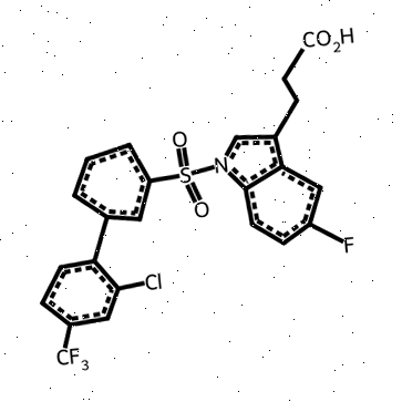 O=C(O)CCc1cn(S(=O)(=O)c2cccc(-c3ccc(C(F)(F)F)cc3Cl)c2)c2ccc(F)cc12